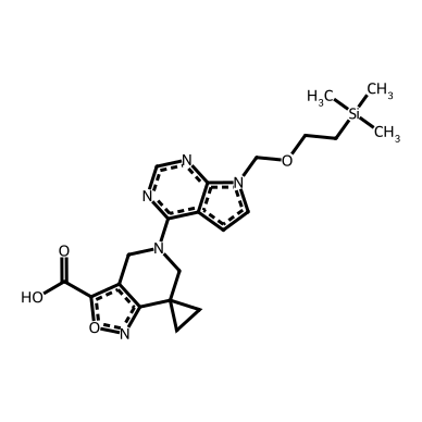 C[Si](C)(C)CCOCn1ccc2c(N3Cc4c(noc4C(=O)O)C4(CC4)C3)ncnc21